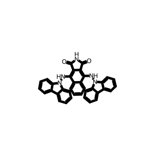 O=C1NC(=O)c2c1c(Nn1c3ccccc3c3ccccc31)c1ccccc1c2Nn1c2ccccc2c2ccccc21